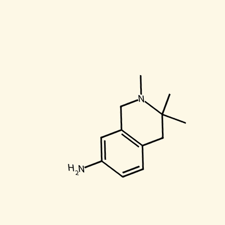 CN1Cc2cc(N)ccc2CC1(C)C